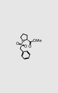 COC(=O)[C@@H]1CCCN1S(=O)(=O)Cc1ccccc1